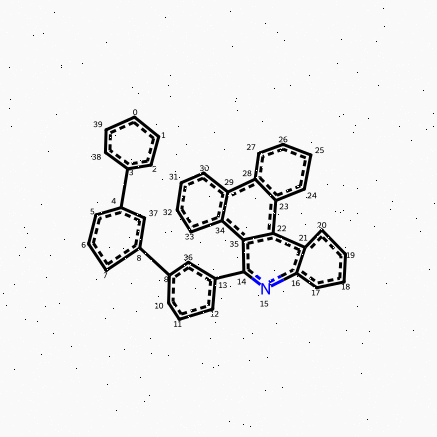 c1ccc(-c2cccc(-c3cccc(-c4nc5ccccc5c5c6ccccc6c6ccccc6c45)c3)c2)cc1